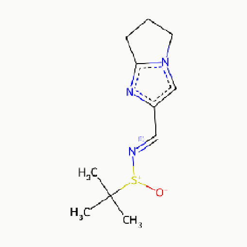 CC(C)(C)[S+]([O-])/N=C/c1cn2c(n1)CCC2